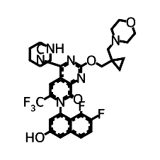 O=c1c2nc(OCC3(CN4CCOCC4)CC3)nc(N3CC4CCC3CN4)c2cc(C(F)(F)F)n1-c1cc(O)cc2ccc(F)c(F)c12